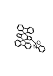 c1ccc2c(c1)-c1ccccc1C21c2ccccc2C2(c3ccccc3-c3ccccc32)c2cc(-c3nc4ccccc4o3)ccc21